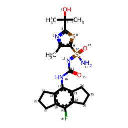 Cc1nc(C(C)(C)O)sc1S(N)(=O)=NC(=O)Nc1c2c(c(F)c3c1CCC3)CCC2